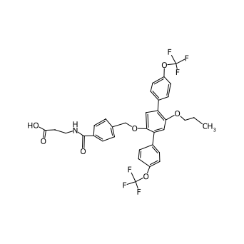 CCCOc1cc(-c2ccc(OC(F)(F)F)cc2)c(OCc2ccc(C(=O)NCCC(=O)O)cc2)cc1-c1ccc(OC(F)(F)F)cc1